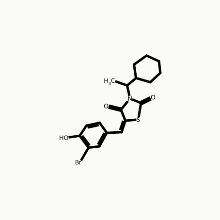 CC(C1CCCCC1)N1C(=O)SC(=Cc2ccc(O)c(Br)c2)C1=O